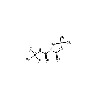 CC(C)(C)NC(=N)NC(=N)NC(C)(C)C